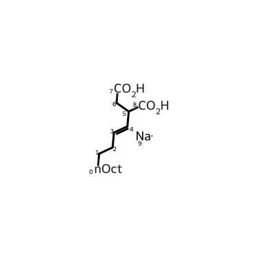 CCCCCCCCCCC=CC(CC(=O)O)C(=O)O.[Na]